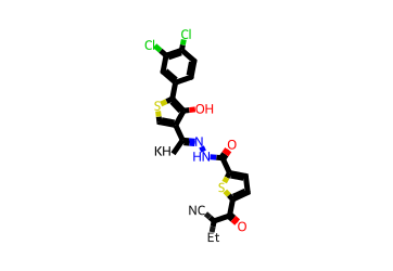 CCC(C#N)C(=O)c1ccc(C(=O)NN=C(C)c2csc(-c3ccc(Cl)c(Cl)c3)c2O)s1.[KH]